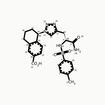 Cc1ccc(S(=O)(=O)N[C@H](Cc2cn([C@@H]3CCCc4cc(C(=O)O)ccc43)nn2)C(N)=O)cc1